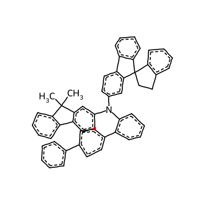 CC1(C)c2ccccc2-c2ccc(N(c3ccc4c(c3)C3(CCc5ccccc53)c3ccccc3-4)c3ccccc3-c3ccc(-c4ccccc4)cc3)cc21